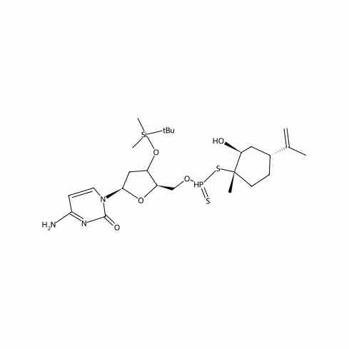 C=C(C)[C@@H]1CC[C@](C)(S[PH](=S)OC[C@H]2O[C@@H](n3ccc(N)nc3=O)CC2O[Si](C)(C)C(C)(C)C)[C@@H](O)C1